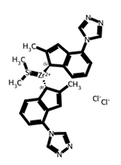 CC1=Cc2c(cccc2-n2cnnc2)[C@@H]1[Zr+2]([C@H]1C(C)=Cc2c1cccc2-n1cnnc1)=[Si](C)C.[Cl-].[Cl-]